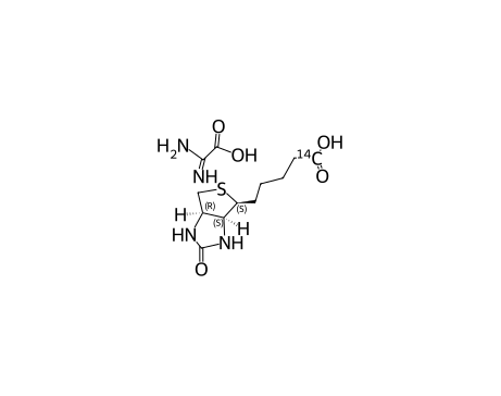 N=C(N)C(=O)O.O=C1N[C@H]2[C@H](CS[C@H]2CCCC[14C](=O)O)N1